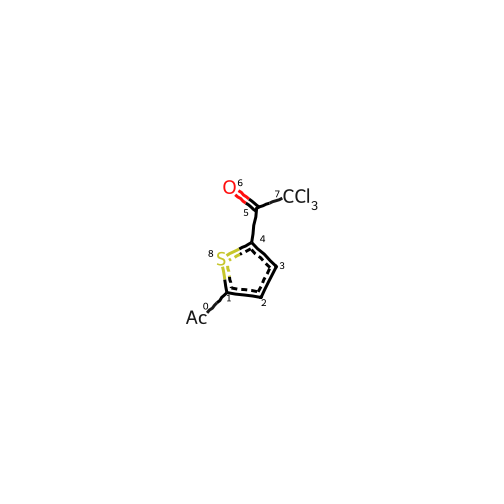 CC(=O)c1ccc(C(=O)C(Cl)(Cl)Cl)s1